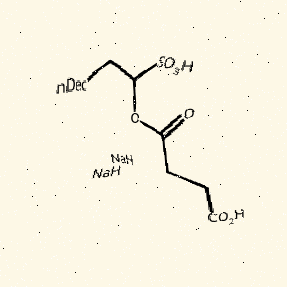 CCCCCCCCCCCC(OC(=O)CCC(=O)O)S(=O)(=O)O.[NaH].[NaH]